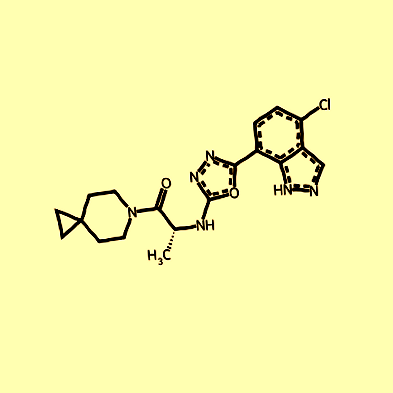 C[C@@H](Nc1nnc(-c2ccc(Cl)c3cn[nH]c23)o1)C(=O)N1CCC2(CC1)CC2